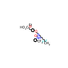 CCOC(Cc1ccc(OCCN(CCCCCC(C)(F)F)C(=O)Nc2ccccc2C(F)(F)F)cc1)C(=O)O